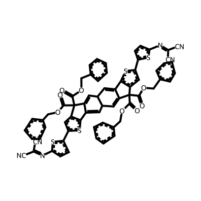 N#CC(C#N)=Nc1ccc(-c2cc3c(s2)C2=CC4C=C5C(=CC4C=C2C3(C(=O)OCc2ccccc2)C(=O)OCc2ccccc2)c2sc(-c3ccc(N=C(C#N)C#N)s3)cc2C5(C(=O)OCc2ccccc2)C(=O)OCc2ccccc2)s1